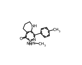 CNC.Cc1ccc(-c2n[nH]c(=O)c3c2NCCC3)cc1